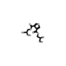 CCCCC(CC)COC(=O)c1cocc1C(=O)OCC(CC)CCCC